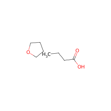 C1CCOC1.CCCC(=O)O